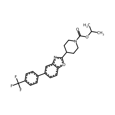 CC(C)OC(=O)N1CCC(c2nc3cc(-c4ccc(C(F)(F)F)cc4)ccc3o2)CC1